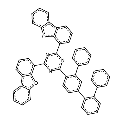 c1ccc(-c2ccccc2-c2ccc(-c3nc(-c4cccc5c4oc4ccccc45)nc(-c4cccc5c4oc4ccccc45)n3)c(-c3ccccc3)c2)cc1